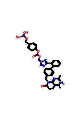 C=C(C)/N=C1\C(=C(\C)N)CCC(=O)N1Cc1ccc(-c2ccccc2-c2nnn(COC(=O)Oc3ccc(CON(O)O)cc3)n2)cc1